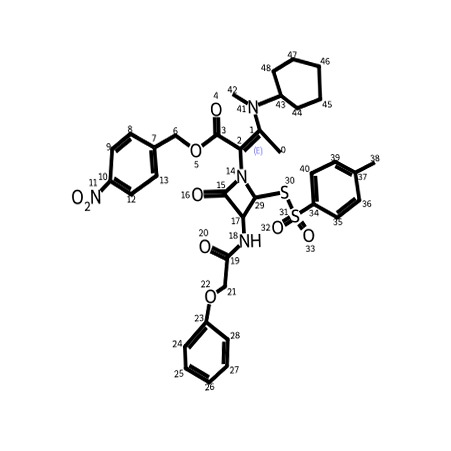 C/C(=C(/C(=O)OCc1ccc([N+](=O)[O-])cc1)N1C(=O)C(NC(=O)COc2ccccc2)C1SS(=O)(=O)c1ccc(C)cc1)N(C)C1CCCCC1